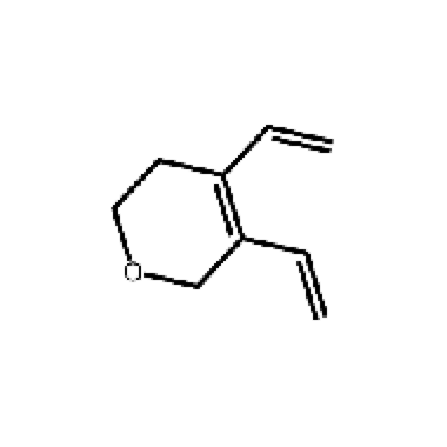 C=CC1=C(C=C)COCC1